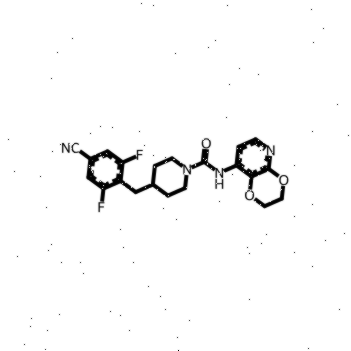 N#Cc1cc(F)c(CC2CCN(C(=O)Nc3ccnc4c3OCCO4)CC2)c(F)c1